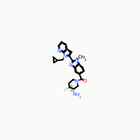 Cn1c(-c2cc3cccnc3n2CC2CC2)nc2cc(C(=O)N3CC[C@H](F)[C@@H](N)C3)ccc21